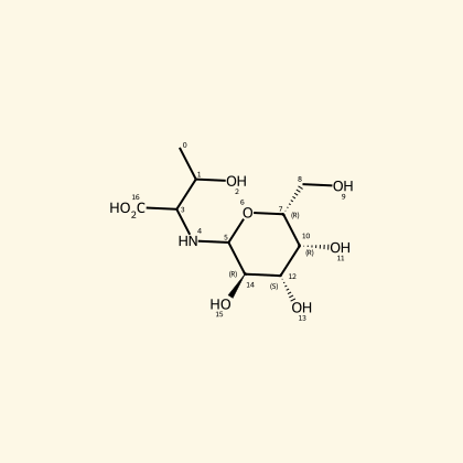 CC(O)C(NC1O[C@H](CO)[C@H](O)[C@H](O)[C@H]1O)C(=O)O